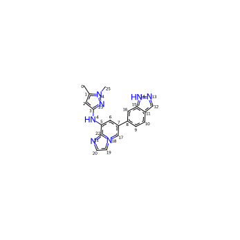 Cc1cc(Nc2cc(-c3ccc4cn[nH]c4c3)cn3ccnc23)nn1C